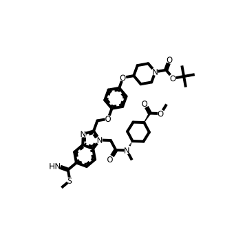 COC(=O)[C@H]1CC[C@H](N(C)C(=O)Cn2c(COc3ccc(OC4CCN(C(=O)OC(C)(C)C)CC4)cc3)nc3cc(C(=N)SC)ccc32)CC1